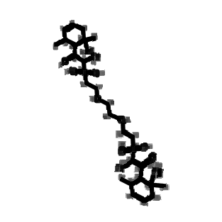 CCC(C(=O)C1C(C)C=CCC1(C)CC)S(=O)(=O)CCOCCOCCS(=O)(=O)C(CC)C(=O)C1C(C)C=CCC1(C)CC